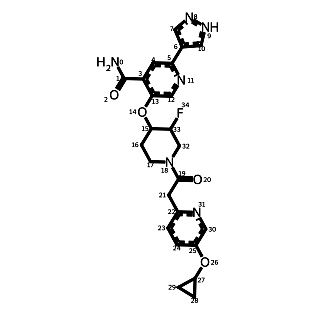 NC(=O)c1cc(-c2cn[nH]c2)ncc1OC1CCN(C(=O)Cc2ccc(OC3CC3)cn2)CC1F